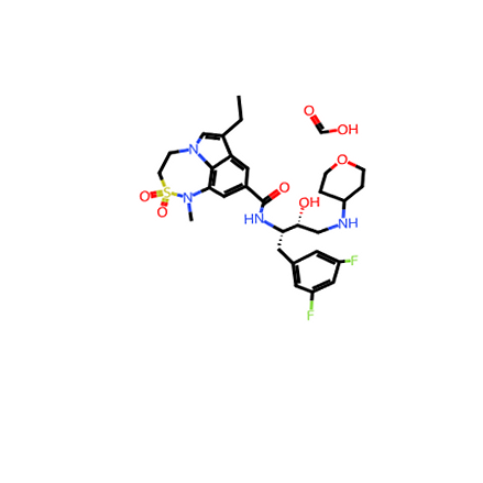 CCc1cn2c3c(cc(C(=O)N[C@@H](Cc4cc(F)cc(F)c4)[C@H](O)CNC4CCOCC4)cc13)N(C)S(=O)(=O)CC2.O=CO